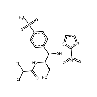 CS(=O)(=O)c1ccc([C@@H](O)[C@@H](CO)NC(=O)C(Cl)Cl)cc1.O=[SH](=O)c1nccs1